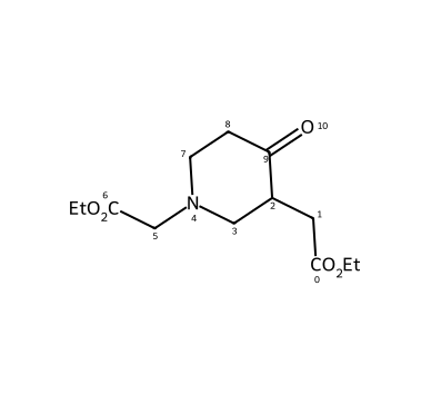 CCOC(=O)CC1CN(CC(=O)OCC)CCC1=O